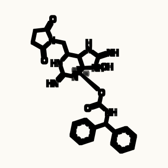 N=C1NC2C(CN3C(=O)CCC3=O)NC(=N)N3C[C@H](OC(=O)NC(c4ccccc4)c4ccccc4)[C@@H](O)C23N1